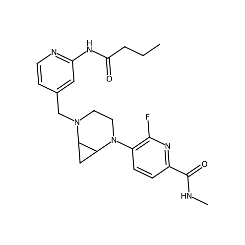 CCCC(=O)Nc1cc(CN2CCN(c3ccc(C(=O)NC)nc3F)C3CC32)ccn1